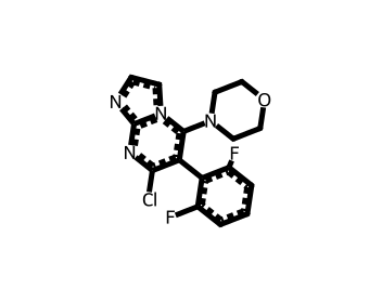 Fc1cccc(F)c1-c1c(Cl)nc2nccn2c1N1CCOCC1